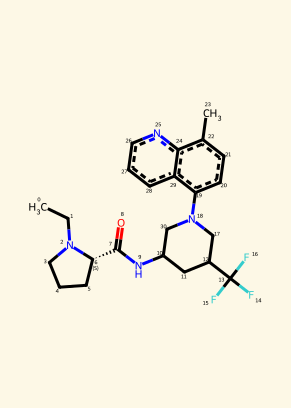 CCN1CCC[C@H]1C(=O)NC1CC(C(F)(F)F)CN(c2ccc(C)c3ncccc23)C1